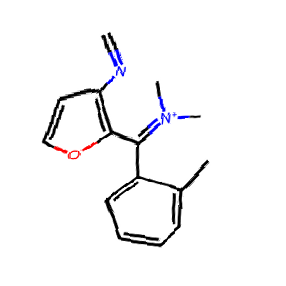 C=Nc1ccoc1C(c1ccccc1C)=[N+](C)C